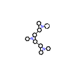 C1=CCC=CC(n2c3ccccc3c3cc(-c4ccc5c(c4)c4cc(-c6ccc7c(c6)c6ccccc6n7-c6ccccc6)ccc4n5-c4ccccc4)ccc32)=C1